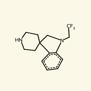 FC(F)(F)CN1CC2(CCNCC2)c2ccccc21